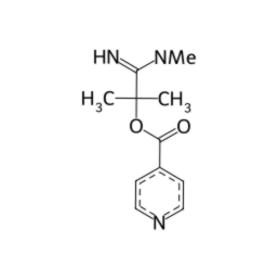 CNC(=N)C(C)(C)OC(=O)c1ccncc1